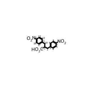 O=C(O)C(Cc1ccc([N+](=O)[O-])cc1)Cc1ccc([N+](=O)[O-])cc1